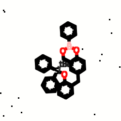 CC(C)(C)[Si](Oc1ccccc1Cc1ccc2c(c1)COB(c1ccccc1)O2)(c1ccccc1)c1ccccc1